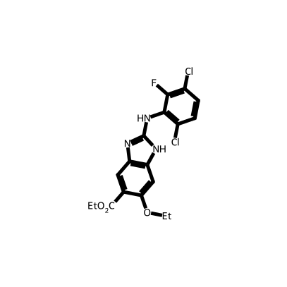 CCOC(=O)c1cc2nc(Nc3c(Cl)ccc(Cl)c3F)[nH]c2cc1OCC